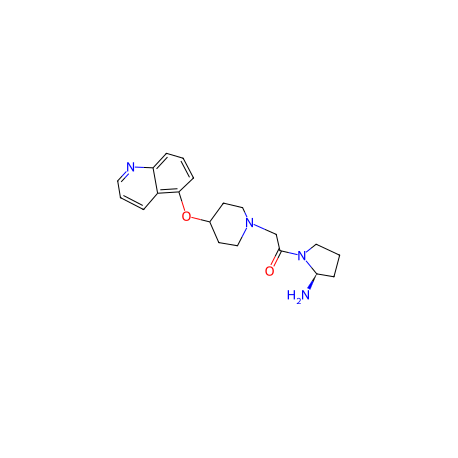 N[C@@H]1CCCN1C(=O)CN1CCC(Oc2cccc3ncccc23)CC1